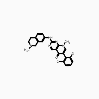 CN1CCc2ccc(Nc3ncc4c(=O)c(-c5c(Cl)cccc5Cl)cn(C)c4n3)cc2C1